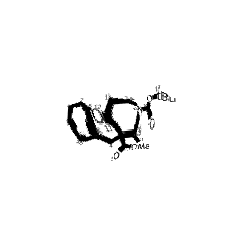 COC(=O)C1(Cc2ccccc2)C(=O)CCN(C(=O)OC(C)(C)C)C1C